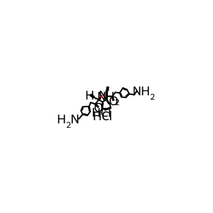 C#CC(N)(C(=O)Cc1ccc(CN)cc1)c1ccccc1C(N)(C#C)C(=O)Cc1ccc(CN)cc1.Cl.Cl